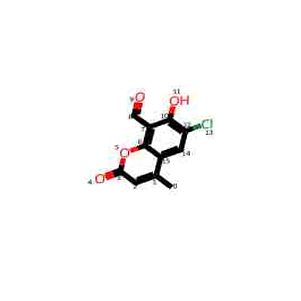 Cc1cc(=O)oc2c(C=O)c(O)c(Cl)cc12